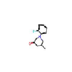 CC1CC(=O)CN(c2ccccc2F)C1